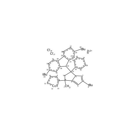 CC(C)(C)C1=CC2C(=C1)C(C)(c1ccccc1)CC2(c1ccccc1)C1c2cc(C(C)(C)C)ccc2-c2ccc(C(C)(C)C)cc21.[Cl-].[Cl-].[Zr+2]